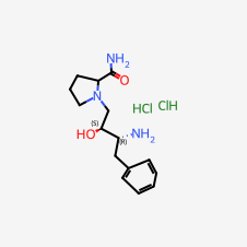 Cl.Cl.NC(=O)C1CCCN1C[C@H](O)[C@H](N)Cc1ccccc1